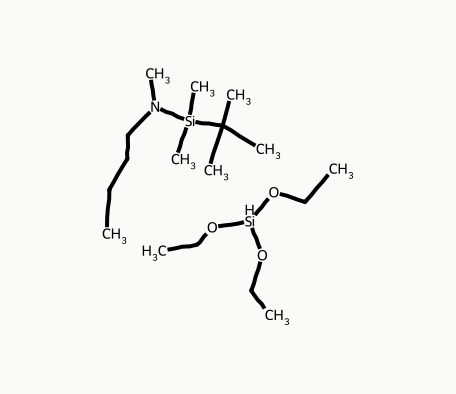 CCCCN(C)[Si](C)(C)C(C)(C)C.CCO[SiH](OCC)OCC